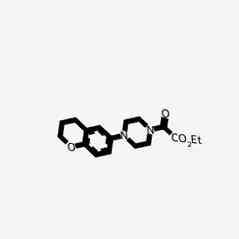 CCOC(=O)C(=O)N1CCN(c2ccc3c(c2)CCCO3)CC1